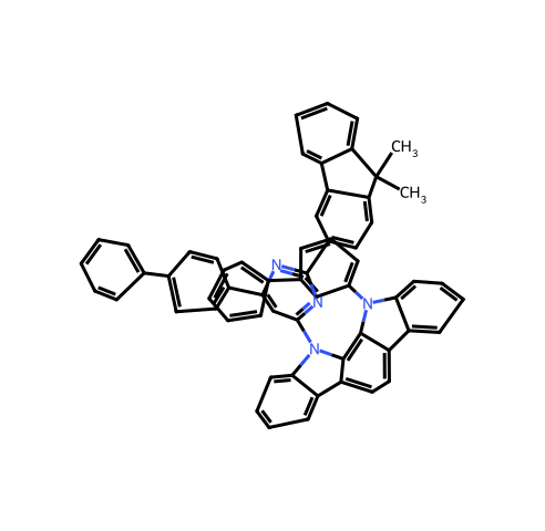 CC1(C)c2ccccc2-c2cc(-c3nc(-c4ccc(-c5ccccc5)cc4)cc(-n4c5ccccc5c5ccc6c7ccccc7n(-c7cccc(-c8ccccc8)c7)c6c54)n3)ccc21